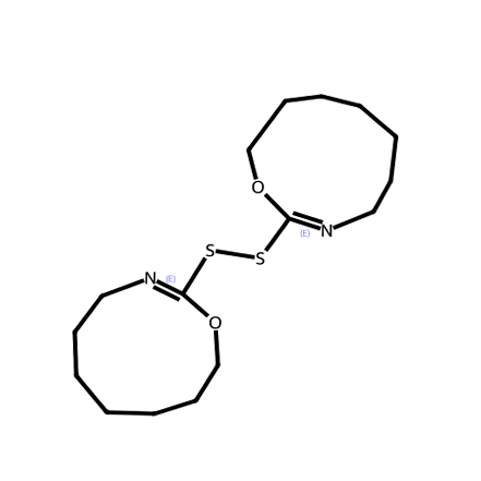 C1CCC/N=C(/SS/C2=N/CCCCCCCO2)OCCC1